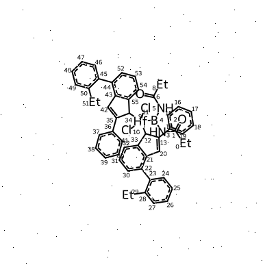 CCC(=O)N[B](NC(=O)CC)[Hf]([Cl])([Cl])([CH]1C(c2ccccc2)=Cc2c(-c3ccccc3CC)cccc21)[CH]1C(c2ccccc2)=Cc2c(-c3ccccc3CC)cccc21